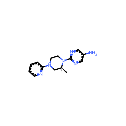 C[C@H]1CN(c2ccccn2)CCN1c1ncc(N)cn1